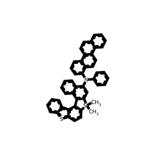 C[Si]1(C)c2cc(N(c3ccccc3)c3cccc4c3ccc3c5ccccc5ccc43)c3ccccc3c2-c2c1ccc1sc3ccccc3c21